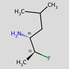 CC(C)C[C@@H](N)[C@H](C)F